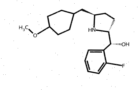 COC1CCC(C[C@H]2CC[C@H]([C@H](O)c3ccccc3F)N2)CC1